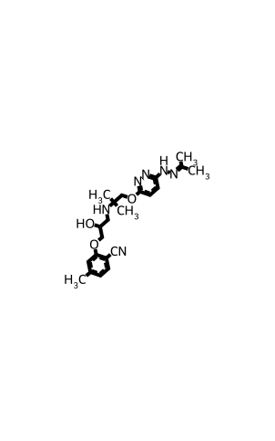 CC(C)=NNc1ccc(OCC(C)(C)NCC(O)COc2cc(C)ccc2C#N)nn1